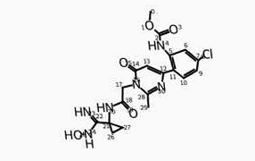 COC(=O)Nc1cc(Cl)ccc1-c1cc(=O)n(CC(=O)NC2(C(=N)NO)CC2)c(C)n1